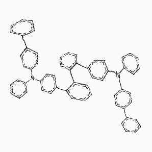 c1ccc(-c2ccc(N(c3ccccc3)c3ccc(-c4ccccc4-c4ccccc4-c4ccc(N(c5ccccc5)c5ccc(-c6ccccc6)cc5)cc4)cc3)cc2)cc1